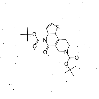 CC(C)(C)OC(=O)N1CCc2c(c(=O)n(C(=O)OC(C)(C)C)c3ccsc23)C1